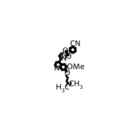 COc1cc2c(-c3ccn(S(=O)(=O)c4cccc(C#N)c4)n3)ccnc2cc1OCCCN(C)C